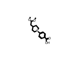 COC(CC1CCN(c2ccc(C(=O)O)cc2)CC1)OC